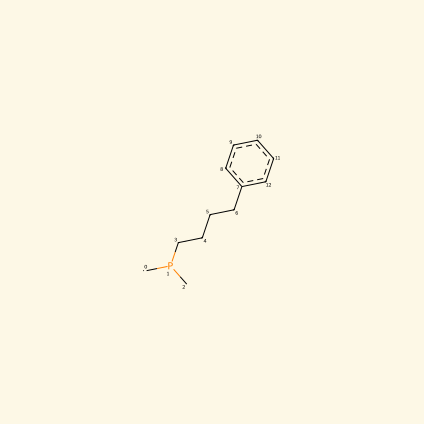 [CH2]P(C)CCCCc1ccccc1